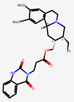 COc1cc2c(cc1OC)[C@H]1C[C@@H](COC(=O)CCn3c(=O)[nH]c4ccccc4c3=O)[C@H](CC(C)C)CN1CC2